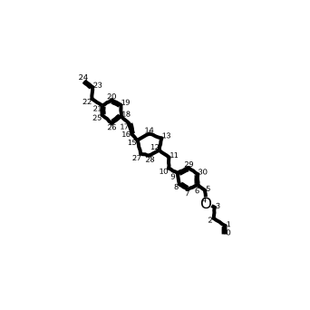 C=CCCOCc1ccc(CCC2CCC(C=Cc3ccc(CC=C)cc3)CC2)cc1